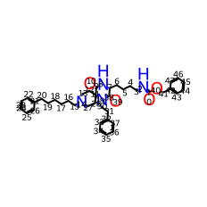 O=C(NCCCCC1NC(=O)C2(CCN(CCCCCCc3ccccc3)CC2)N(CCc2ccccc2)C1=O)OCc1ccccc1